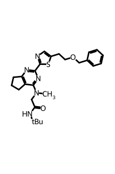 CN(CC(=O)NC(C)(C)C)c1nc(-c2ncc(CCOCc3ccccc3)s2)nc2c1CCC2